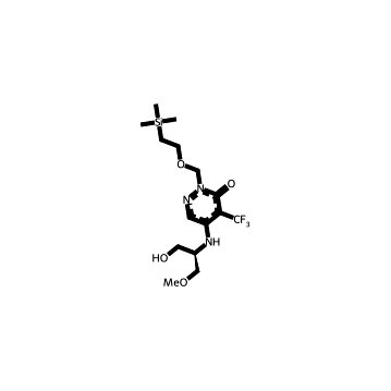 COC[C@@H](CO)Nc1cnn(COCC[Si](C)(C)C)c(=O)c1C(F)(F)F